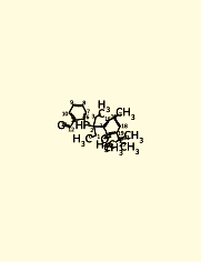 CCC(CC)(Pc1ccccc1C=O)c1cc(C)cc(C(C)(C)C)c1OC